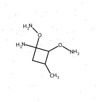 CC1CC(N)(ON)C1ON